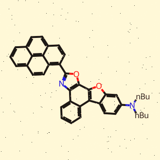 CCCCN(CCCC)c1ccc2c(c1)oc1c3oc(-c4ccc5ccc6cccc7ccc4c5c67)nc3c3ccccc3c21